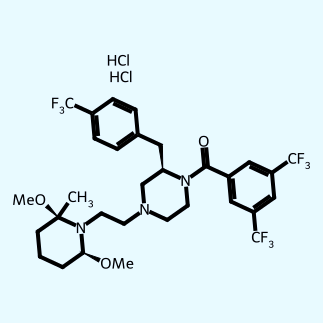 CO[C@H]1CCC[C@@](C)(OC)N1CCN1CCN(C(=O)c2cc(C(F)(F)F)cc(C(F)(F)F)c2)[C@H](Cc2ccc(C(F)(F)F)cc2)C1.Cl.Cl